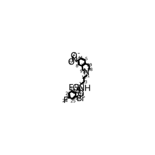 O=[N+]([O-])c1ccc2c(c1)CN(CCCCNS(=O)(=O)c1c(F)cc(F)cc1Br)CC2